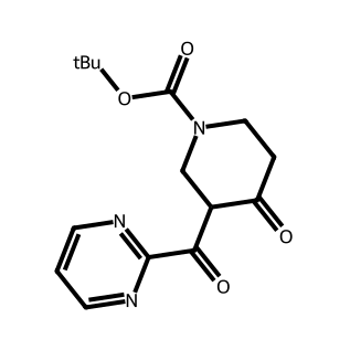 CC(C)(C)OC(=O)N1CCC(=O)C(C(=O)c2ncccn2)C1